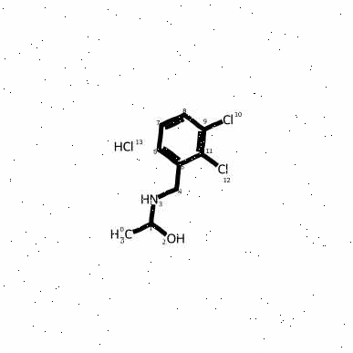 CC(O)NCc1cccc(Cl)c1Cl.Cl